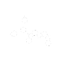 c1ccc2c(c1)oc1ccc3c4ccc5c(c6ccccc6n5-c5cc(-c6ccncc6)cc(-c6ccncc6)c5)c4oc3c12